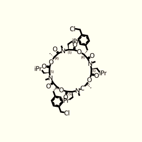 CC(C)C[C@H]1C(=O)O[C@H](Cc2ccc(CCl)cc2)C(=O)N(C)[C@@H](CC(C)C)C(=O)O[C@H](C)C(=O)N(C)[C@@H](CC(C)C)C(=O)O[C@H](Cc2ccc(CCl)cc2)C(=O)N(C)[C@@H](CC(C)C)C(=O)O[C@H](C)CN1C